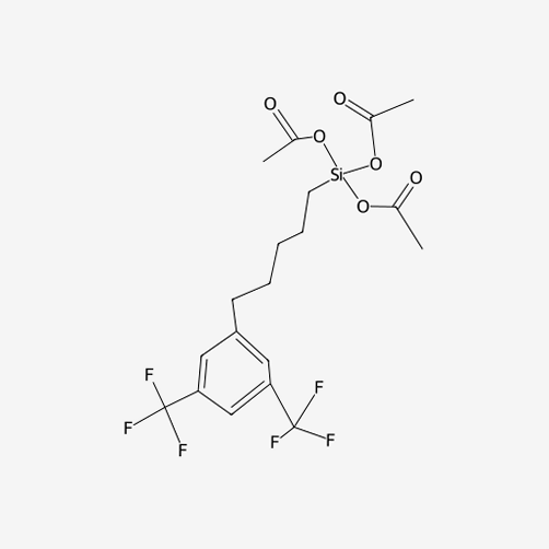 CC(=O)O[Si](CCCCCc1cc(C(F)(F)F)cc(C(F)(F)F)c1)(OC(C)=O)OC(C)=O